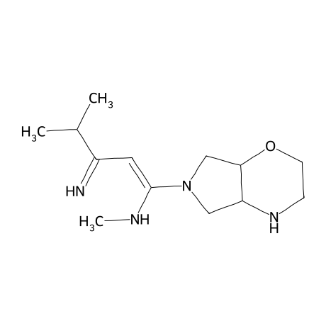 CN/C(=C\C(=N)C(C)C)N1CC2NCCOC2C1